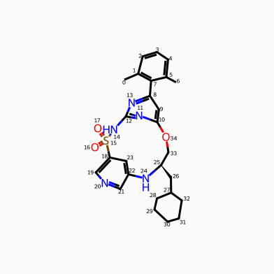 Cc1cccc(C)c1-c1cc2nc(n1)NS(=O)(=O)c1cncc(c1)N[C@H](CC1CCCCC1)CO2